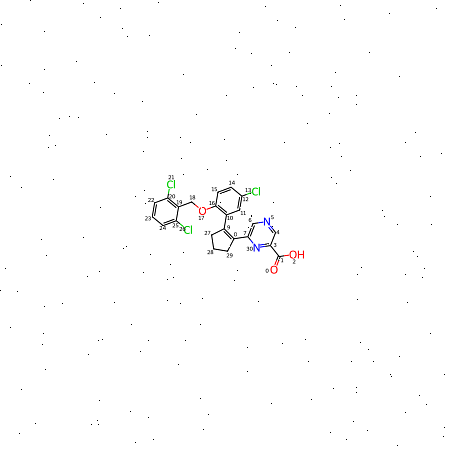 O=C(O)c1cncc(C2=C(c3cc(Cl)ccc3OCc3c(Cl)cccc3Cl)CCC2)n1